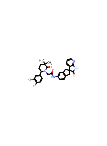 CC1(C)CCC(c2ccc(Cl)c(Cl)c2)N(CC(=O)Nc2ccc3c(c2)CC2(C3)C(=O)Nc3ncccc32)C1=O